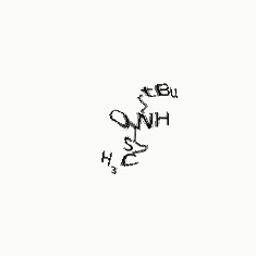 Cc1ccc(C(=O)NCCCC(C)(C)C)s1